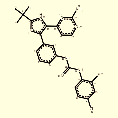 CC(C)(C)c1nc(-c2cccc(NC(=O)Nc3ccc(Cl)cc3F)c2)c(-c2ccnc(N)n2)[nH]1